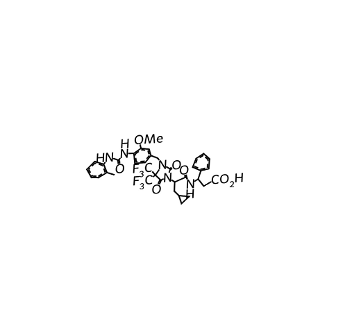 COc1cc(CN2C(=O)N(C(CC3CC3)C(=O)NC(CC(=O)O)c3ccccc3)C(=O)C2(C(F)(F)F)C(F)(F)F)ccc1NC(=O)Nc1ccccc1C